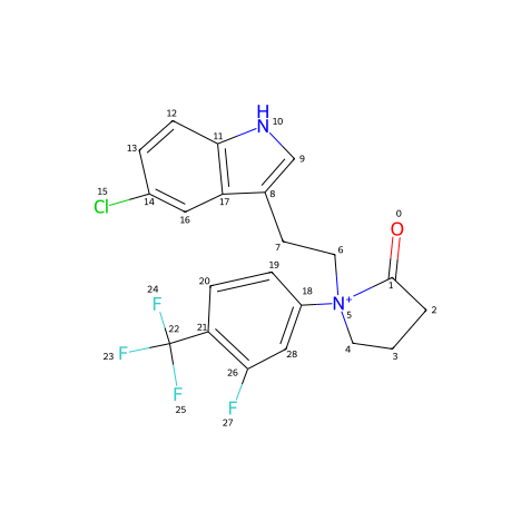 O=C1CCC[N+]1(CCc1c[nH]c2ccc(Cl)cc12)c1ccc(C(F)(F)F)c(F)c1